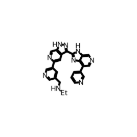 CCNCc1cncc(-c2cc3c(-c4nc5c(-c6cccnc6)cncc5[nH]4)n[nH]c3cn2)c1